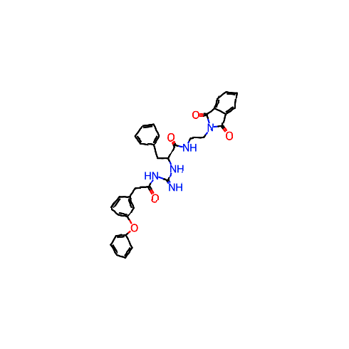 N=C(NC(=O)Cc1cccc(Oc2ccccc2)c1)NC(Cc1ccccc1)C(=O)NCCN1C(=O)c2ccccc2C1=O